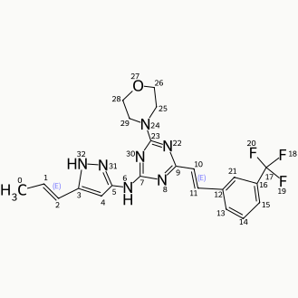 C/C=C/c1cc(Nc2nc(/C=C/c3cccc(C(F)(F)F)c3)nc(N3CCOCC3)n2)n[nH]1